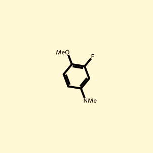 CNc1ccc(OC)c(F)c1